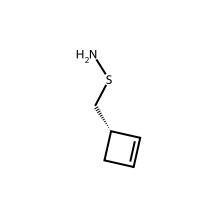 NSC[C@@H]1C=CC1